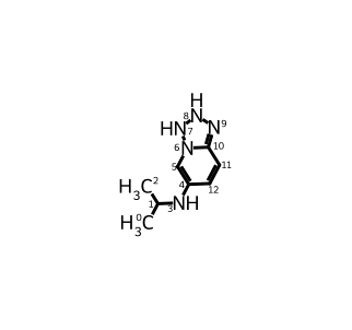 CC(C)NC1=CN2NNN=C2C=C1